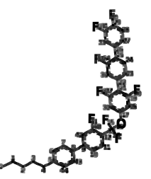 CCCCCc1ccc(-c2ccc(C(F)(F)Oc3cc(F)c(-c4ccc(-c5ccc(F)c(F)c5)c(F)c4)c(F)c3)c(F)c2)cc1